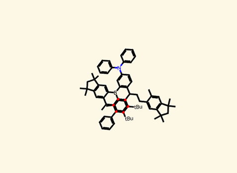 Cc1cc2c(cc1CCC1c3ccc(N(c4ccccc4)c4ccccc4)cc3B(c3cc4c(cc3C(C)c3ccc(C(C)(C)C)cc3-c3ccccc3)C(C)(C)CC4(C)C)c3c(C)cc(C(C)(C)C)cc31)C(C)(C)CC2(C)C